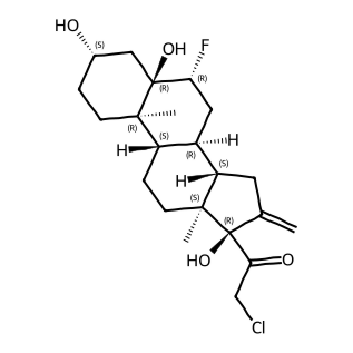 C=C1C[C@H]2[C@@H]3C[C@@H](F)[C@@]4(O)C[C@@H](O)CC[C@]4(C)[C@H]3CC[C@]2(C)[C@@]1(O)C(=O)CCl